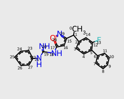 CC(c1ccc(-c2ccccc2)c(F)c1)c1cc(NC(=N)Nc2ccccc2)on1